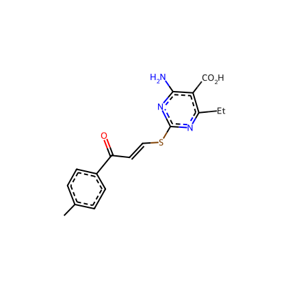 CCc1nc(SC=CC(=O)c2ccc(C)cc2)nc(N)c1C(=O)O